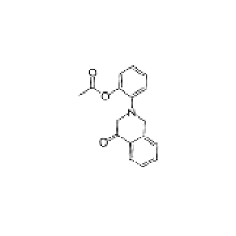 CC(=O)Oc1ccccc1N1CC(=O)c2ccccc2C1